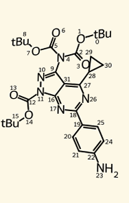 CC(C)(C)OC(=O)N(C(=O)OC(C)(C)C)c1nn(C(=O)OC(C)(C)C)c2nc(-c3ccc(N)cc3)nc(C3CC3)c12